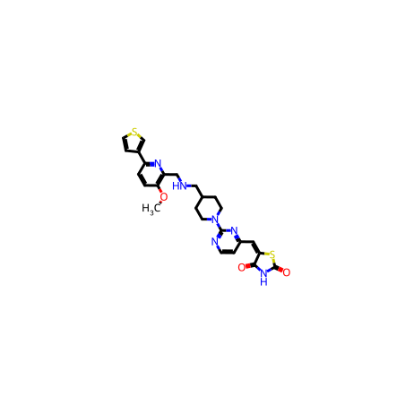 COc1ccc(-c2ccsc2)nc1CNCC1CCN(c2nccc(C=C3SC(=O)NC3=O)n2)CC1